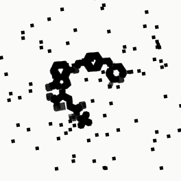 C[C@@H]1CN(Cc2ccc(COc3cccc4c3CN(C(CCC(=O)NC(C)(C)C)C(=O)O)C4=O)cc2)C[C@H](C)O1